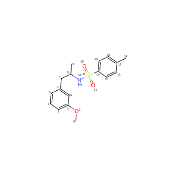 COc1cccc(CC(C)NS(=O)(=O)c2ccc(C)cc2)c1